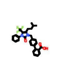 CC(C)CCc1c(C(F)(F)F)n(-c2ccccc2)c(=O)n1Cc1ccc(-c2ccccc2C(=O)O)cc1